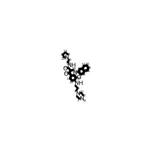 CN1CCN(CCCNc2ccc3c(=O)c(C(=O)NCCN4CCCC4)cn4c3c2Oc2cc3ccccc3cc2-4)CC1